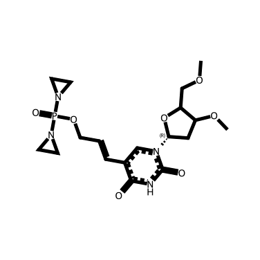 COCC1O[C@@H](n2cc(C=CCOP(=O)(N3CC3)N3CC3)c(=O)[nH]c2=O)CC1OC